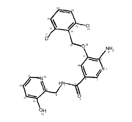 Nc1ncc(C(=O)NCc2ncccc2O)cc1OCc1c(Cl)cccc1Cl